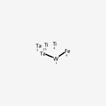 [Fe][W][Ta].[Ta].[Ti].[Ti]